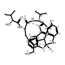 CC(C)[C@H](O)C(=O)N[C@H]1Cc2ccc3c(c2)[C@@]2(c4cc(F)ccc4N[C@@H]2O3)c2oc(nc2-c2nc(CO)co2)[C@H](C(C)C)NC1=O